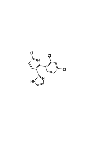 Clc1ccc(-c2nc(Cl)ccc2-c2ncc[nH]2)c(Cl)c1